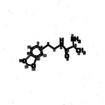 CC(N)C(=O)NCCc1ccc2c(c1)OCO2